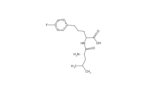 CC(C)C[C@H](N)C(=O)NC(CCCc1ccc(F)cc1)C(=O)O